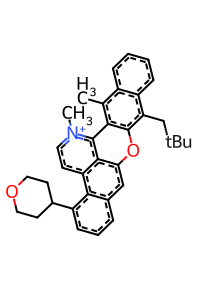 Cc1c2c(c(CC(C)(C)C)c3ccccc13)Oc1cc3cccc(C4CCOCC4)c3c3cc[n+](C)c-2c13